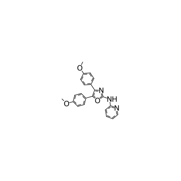 COc1ccc(-c2nc(Nc3ccccn3)oc2-c2ccc(OC)cc2)cc1